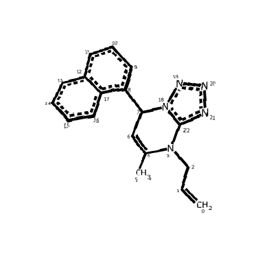 C=CCN1C(C)=CC(c2cccc3ccccc23)n2nnnc21